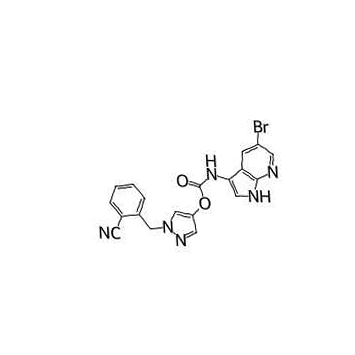 N#Cc1ccccc1Cn1cc(OC(=O)Nc2c[nH]c3ncc(Br)cc23)cn1